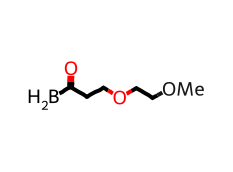 BC(=O)CCOCCOC